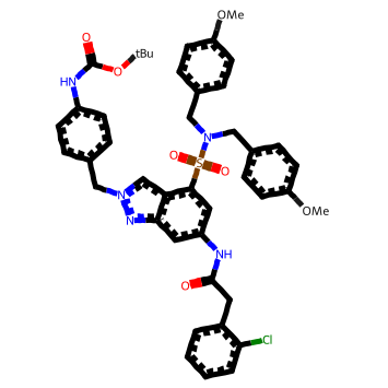 COc1ccc(CN(Cc2ccc(OC)cc2)S(=O)(=O)c2cc(NC(=O)Cc3ccccc3Cl)cc3nn(Cc4ccc(NC(=O)OC(C)(C)C)cc4)cc23)cc1